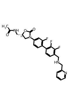 CC(=O)NC[C@H]1CN(c2ccc(-c3ccc(CNCc4ccccn4)c(F)c3F)c(F)c2)C(=O)O1